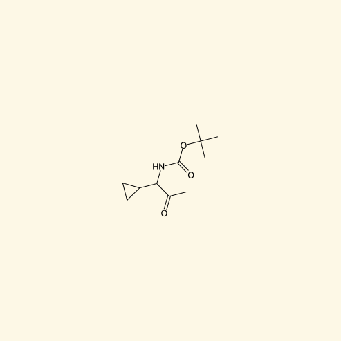 CC(=O)C(NC(=O)OC(C)(C)C)C1CC1